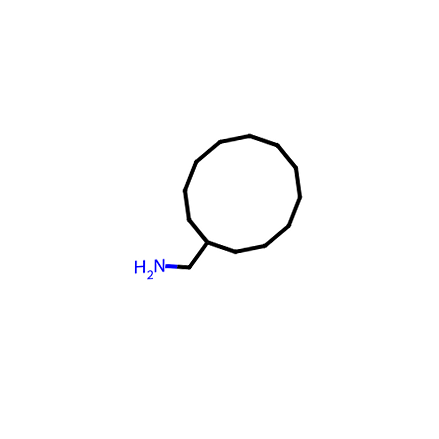 NCC1CCCCCCCCCCC1